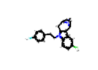 CN1C2CCC1c1c(n(CCc3ccc(F)cc3)c3ccc(Cl)cc13)C2